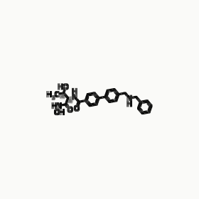 C[C@@H](O)[C@H](NC(=O)c1ccc(-c2ccc(CNCc3ccccc3)cc2)cc1)C(=O)NO